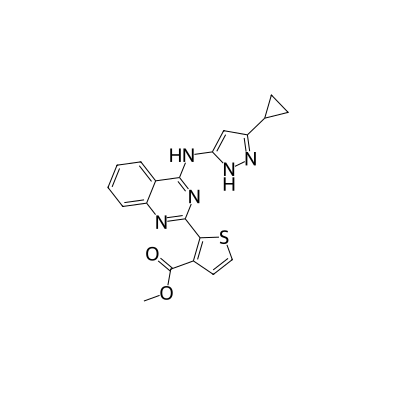 COC(=O)c1ccsc1-c1nc(Nc2cc(C3CC3)n[nH]2)c2ccccc2n1